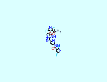 C[C@@H](OC(=O)Nc1c(-c2ccc(NC(=O)c3cc(F)cnc3F)cn2)nnn1C)c1cc(F)cnc1F